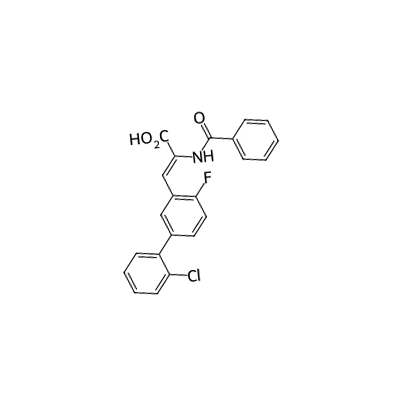 O=C(O)C(=Cc1cc(-c2ccccc2Cl)ccc1F)NC(=O)c1ccccc1